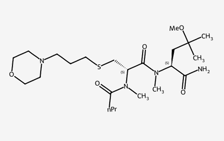 CCCC(=O)N(C)[C@H](CSCCCN1CCOCC1)C(=O)N(C)[C@@H](CC(C)(C)OC)C(N)=O